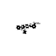 CC(C)COC(=O)c1cccc(CC(=O)N2CCN(c3cnn(-c4ccccc4)c(=O)c3OCC3(C)CC3)CC2)c1